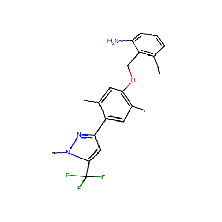 Cc1cc(-c2cc(C(F)(F)F)n(C)n2)c(C)cc1OCc1c(C)cccc1N